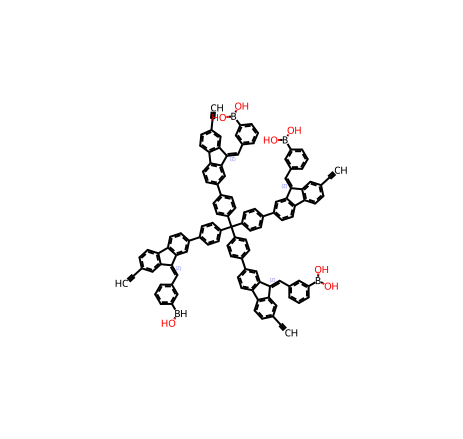 C#Cc1ccc2c(c1)/C(=C\c1cccc(BO)c1)c1cc(-c3ccc(C(c4ccc(-c5ccc6c(c5)/C(=C/c5cccc(B(O)O)c5)c5cc(C#C)ccc5-6)cc4)(c4ccc(-c5ccc6c(c5)/C(=C/c5cccc(B(O)O)c5)c5cc(C#C)ccc5-6)cc4)c4ccc(-c5ccc6c(c5)/C(=C/c5cccc(B(O)O)c5)c5cc(C#C)ccc5-6)cc4)cc3)ccc1-2